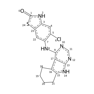 O=c1[nH]c2cc(Cl)c(Nc3ncnc4[nH]c5c(c34)CCCC5)cc2s1